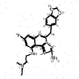 CN(C)CCNc1cc(F)cc2nc(Cc3ccc4c(c3)OCO4)n3nc(N)nc3c12